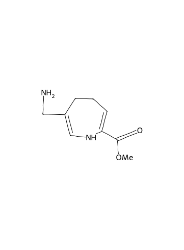 COC(=O)C1=CCCC(CN)=CN1